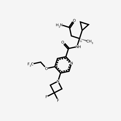 C[C@@](CC(N)=O)(NC(=O)c1cc(OCC(F)(F)F)c(N2CC(F)(F)C2)cn1)C1CC1